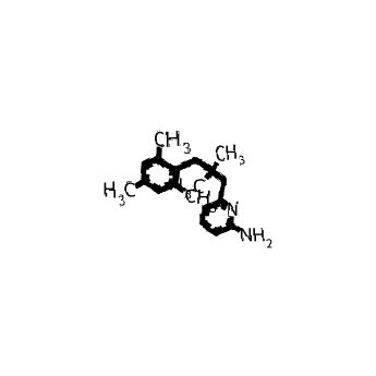 Cc1cc(C)c(CC(C)(C)Cc2cccc(N)n2)c(C)c1